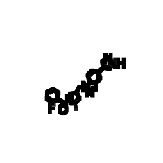 C[C@@H]1CC(Cn2ncc3cc(-c4cn[nH]c4)ccc32)CN1C(=O)c1ccccc1F